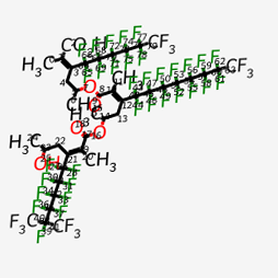 CC(C(=O)O)=C(CC(C)OC(=O)C(C)=C(CC(C)OC(=O)C(C)=C(CC(C)O)C(F)(F)C(F)(F)C(F)(F)C(F)(F)C(F)(C(F)(F)F)C(F)(F)F)C(F)(F)C(F)(F)C(F)(F)C(F)(F)C(F)(F)C(F)(F)C(F)(F)C(F)(F)F)C(F)(F)C(F)(F)C(F)(F)C(F)(F)C(F)(F)C(F)(F)F